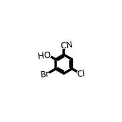 N#Cc1cc(Cl)cc(Br)c1O